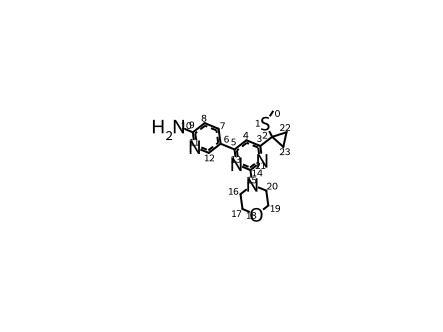 CSC1(c2cc(-c3ccc(N)nc3)nc(N3CCOCC3)n2)CC1